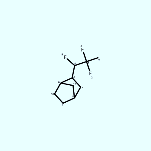 CC(F)(F)C(F)C1CC2CCC1C2